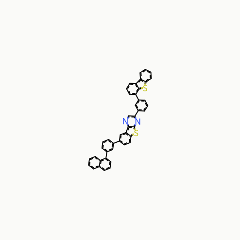 c1cc(-c2ccc3sc4nc(-c5cccc(-c6cccc7c6sc6ccccc67)c5)cnc4c3c2)cc(-c2cccc3ccccc23)c1